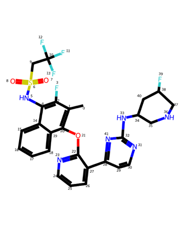 Cc1c(F)c(NS(=O)(=O)CC(F)(F)F)c2ccccc2c1Oc1ncccc1-c1ccnc(NC2CNCC(F)C2)n1